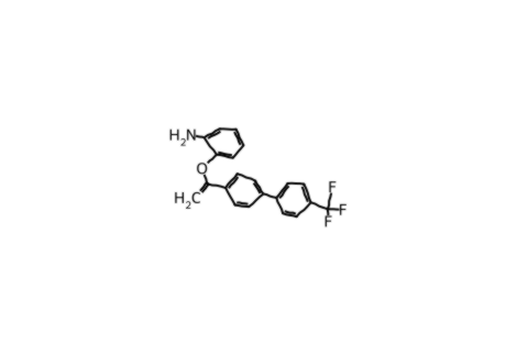 C=C(Oc1ccccc1N)c1ccc(-c2ccc(C(F)(F)F)cc2)cc1